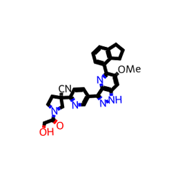 COc1cc2[nH]nc(-c3ccc(C4(C#N)CCN(C(=O)CO)C4)nc3)c2nc1-c1cccc2c1CCC2